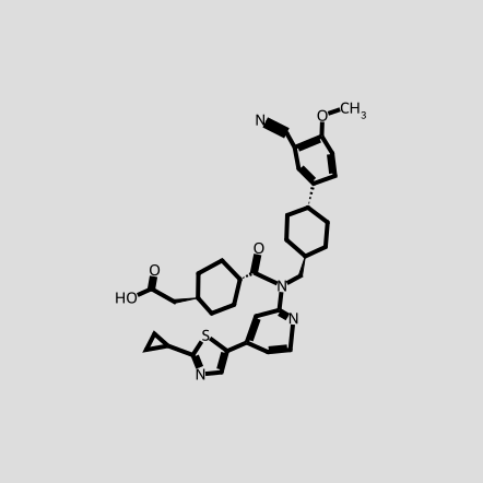 COc1ccc([C@H]2CC[C@H](CN(c3cc(-c4cnc(C5CC5)s4)ccn3)C(=O)[C@H]3CC[C@H](CC(=O)O)CC3)CC2)cc1C#N